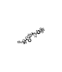 CN(C)S(=O)(=O)c1ccc(NCC(C)(C)NCC(=O)N2CCCC2C(=O)c2nnc(C(C)(C)C)o2)nc1